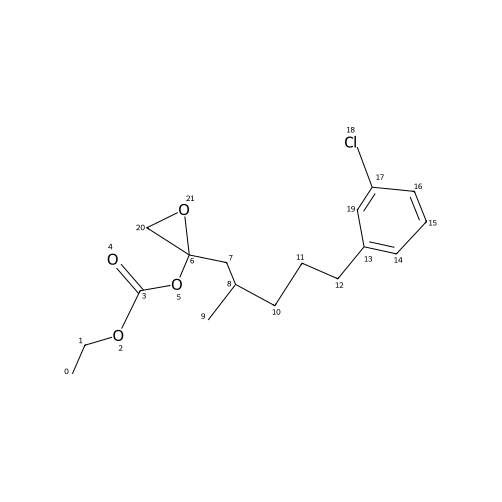 CCOC(=O)OC1(CC(C)CCCc2cccc(Cl)c2)CO1